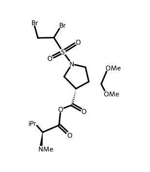 CN[C@H](C(=O)OC(=O)[C@H]1CCN(S(=O)(=O)C(Br)CBr)C1)C(C)C.COCOC